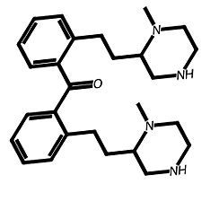 CN1CCNCC1CCc1ccccc1C(=O)c1ccccc1CCC1CNCCN1C